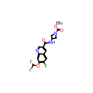 CC(C)(C)OC(=O)N1CC(NC(=O)c2cnc3cc(OC(F)F)c(F)cc3c2)C1